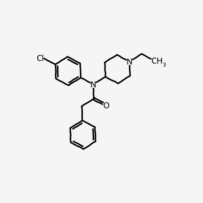 CCN1CCC(N(C(=O)Cc2ccccc2)c2ccc(Cl)cc2)CC1